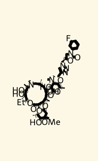 CC[C@H]1OC(=O)[C@H](C)[C@@H](O[C@H]2C[C@@](C)(OC)[C@@H](O)[C@H](C)O2)[C@H](C)[C@@H](O[C@@H]2O[C@H](C)[C@@H](OCc3cn(C[C@H]4CN(c5cccc(F)c5)C(=O)O4)nn3)[C@H](N(C)C)[C@H]2O)[C@](C)(O)C[C@@H](C)CN(C)[C@H](C)[C@@H](O)[C@]1(C)O